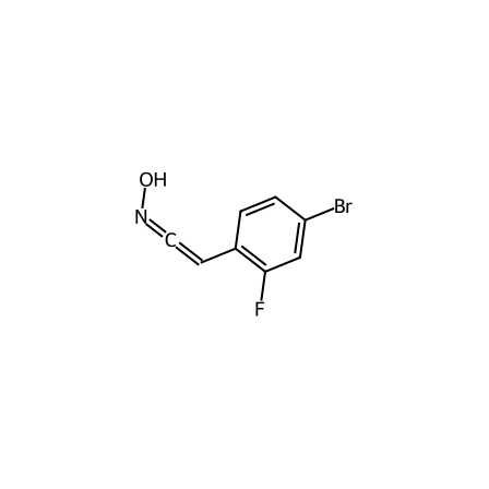 ON=C=Cc1ccc(Br)cc1F